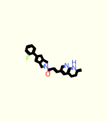 C=C1CCc2cc(/C=C/C(=O)N3CC4C=C(c5ccccc5F)CC4C3)cnc2N1